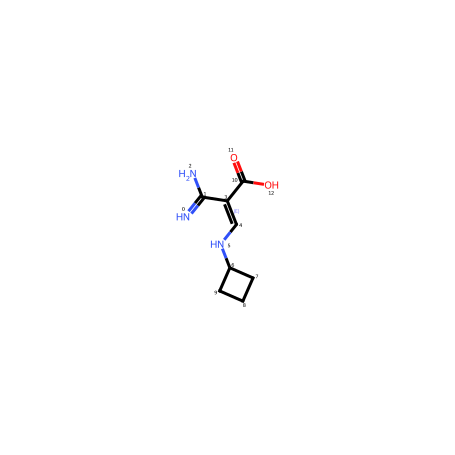 N=C(N)/C(=C\NC1CCC1)C(=O)O